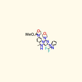 COC[C@@H]1COCCN1c1ccc(C(C)Nc2cc(-n3c(C(F)F)nc4ccccc43)nc(N3CCOCC3)n2)cc1